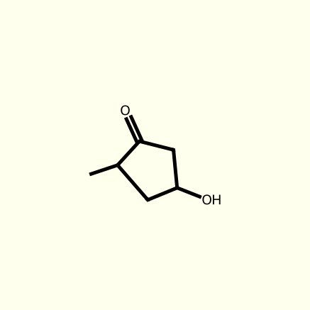 CC1CC(O)CC1=O